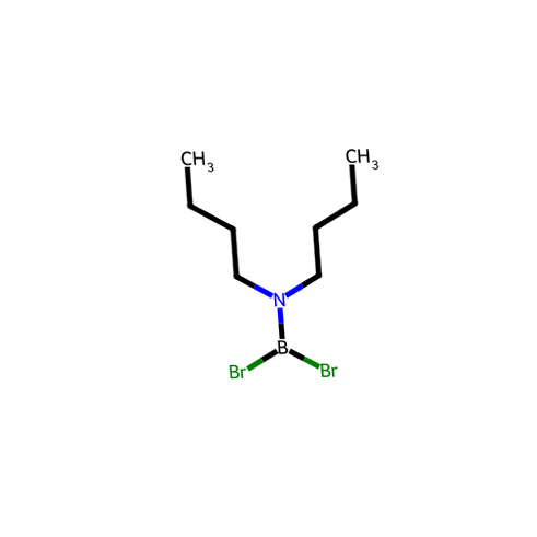 CCCCN(CCCC)B(Br)Br